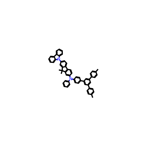 Cc1ccc(-c2cc(-c3ccc(C)cc3)cc(-c3ccc(N(c4ccccc4)c4ccc5c(c4)C(C)(C)c4cc(-n6c7ccccc7c7ccccc76)ccc4-5)cc3)c2)cc1